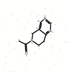 CC(=O)N1CCc2ncncc2C1